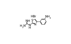 Br.N=C(N)Nc1nc(-c2cccc(N)c2)cs1